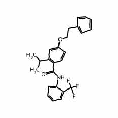 CC(C)c1cc(OCCc2ccccc2)ccc1C(=O)Nc1ccccc1C(F)(F)F